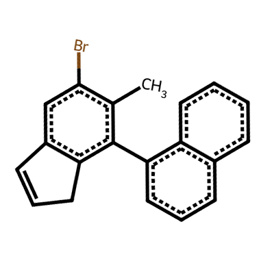 Cc1c(Br)cc2c(c1-c1cccc3ccccc13)CC=C2